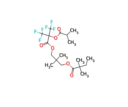 CCC(C)(C)C(=O)OCC(C)(C)COC(=O)C(OC(=O)C(C)C)(C(F)(F)F)C(F)(F)F